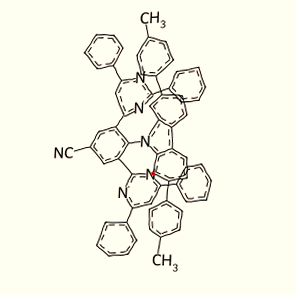 Cc1ccc(-c2ccc3c4ccc(-c5ccc(C)cc5)cc4n(-c4c(-c5cc(-c6ccccc6)nc(-c6ccccc6)n5)cc(C#N)cc4-c4nc(-c5ccccc5)cc(-c5ccccc5)n4)c3c2)cc1